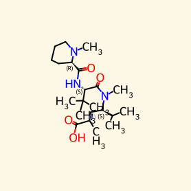 C/C(=C\[C@H](C(C)C)N(C)C(=O)[C@@H](NC(=O)[C@H]1CCCCN1C)C(C)(C)C)C(=O)O